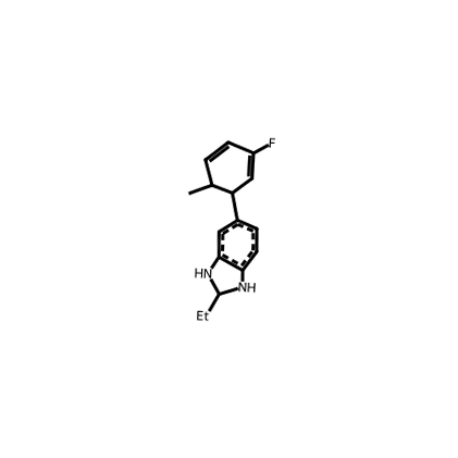 CCC1Nc2ccc(C3C=C(F)C=CC3C)cc2N1